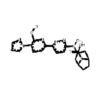 COc1nc(-c2ccc(N(C)C3CC4CCC(C3)N4C(=O)O)nn2)ccc1-n1cccn1